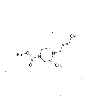 C[C@@H]1CN(C(=O)OC(C)(C)C)CCN1CC=CC#N